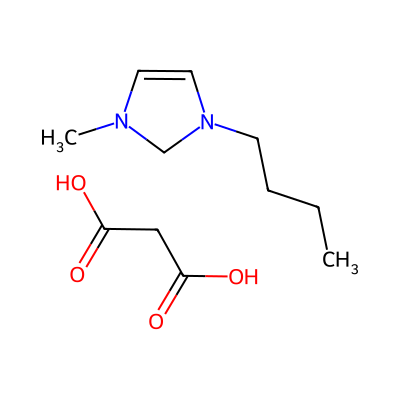 CCCCN1C=CN(C)C1.O=C(O)CC(=O)O